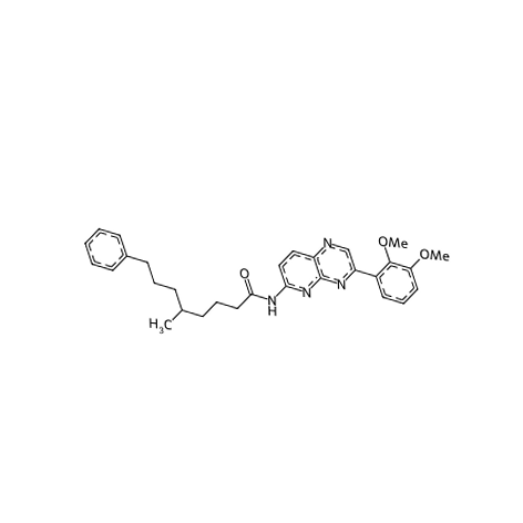 COc1cccc(-c2cnc3ccc(NC(=O)CCCC(C)CCCc4ccccc4)nc3n2)c1OC